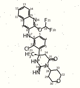 C[C@@]1(c2cccc(Nc3cc4ccccc4nc3OC(F)F)c2Cl)CC(=O)N(C2CCOCC2)C(=N)N1